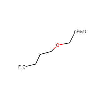 CCCCCCOCCCC(F)(F)F